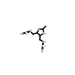 CC1SC(CN=C=O)C(CN=C=O)S1